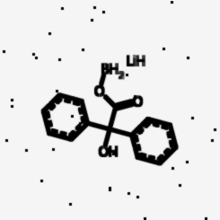 BOC(=O)C(O)(c1ccccc1)c1ccccc1.[LiH]